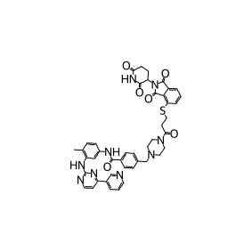 Cc1ccc(NC(=O)c2ccc(CN3CCN(C(=O)CCSc4cccc5c4C(=O)N(C4CCC(=O)NC4=O)C5=O)CC3)cc2)cc1Nc1nccc(-c2cccnc2)n1